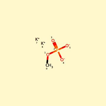 COP(=O)([O-])[O-].[K+].[K+]